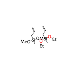 C=CC[Si](C)(OC)OC.C=CC[Si](C)(OCC)OCC